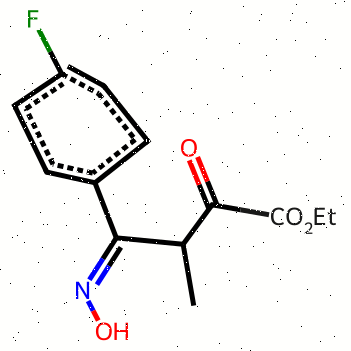 CCOC(=O)C(=O)C(C)/C(=N\O)c1ccc(F)cc1